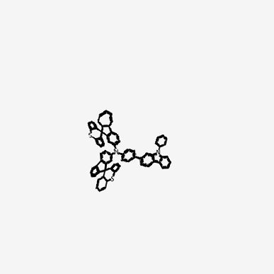 C1=CCC2=C(C=C1)c1ccc(N(c3ccc(-c4ccc5c6ccccc6n(-c6ccccc6)c5c4)cc3)c3ccc4c(c3)C3(c5ccccc5SC5C=CC=CC53)c3ccccc3-4)cc1C21c2ccccc2Sc2ccccc21